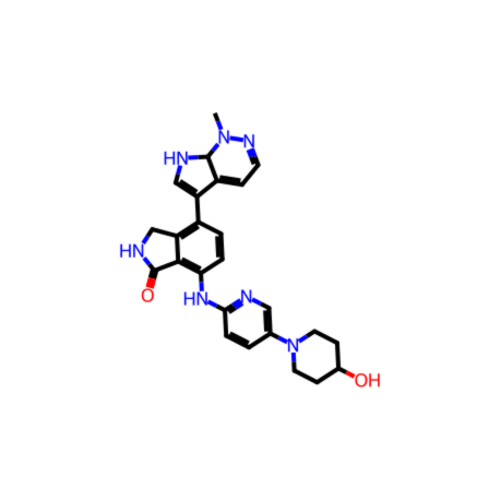 CN1N=CC=C2C(c3ccc(Nc4ccc(N5CCC(O)CC5)cn4)c4c3CNC4=O)=CNC21